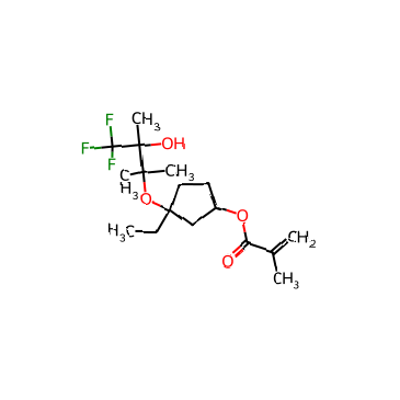 C=C(C)C(=O)OC1CCC(CC)(OC(C)(C)C(C)(O)C(F)(F)F)C1